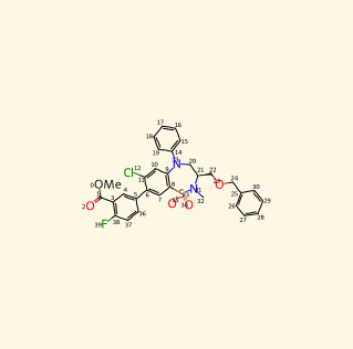 COC(=O)c1cc(-c2cc3c(cc2Cl)N(c2ccccc2)C[C@@H](COCc2ccccc2)N(C)S3(=O)=O)ccc1F